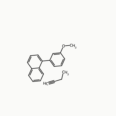 C#CCC.COc1cccc(-c2cccc3ccccc23)c1